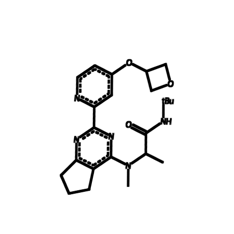 CC(C(=O)NC(C)(C)C)N(C)c1nc(-c2cc(OC3COC3)ccn2)nc2c1CCC2